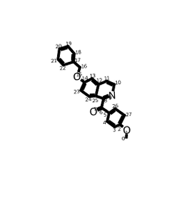 COc1ccc(C(=O)c2nccc3cc(OCc4ccccc4)ccc23)cc1